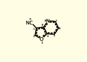 N#Cc1coc2cccnc12